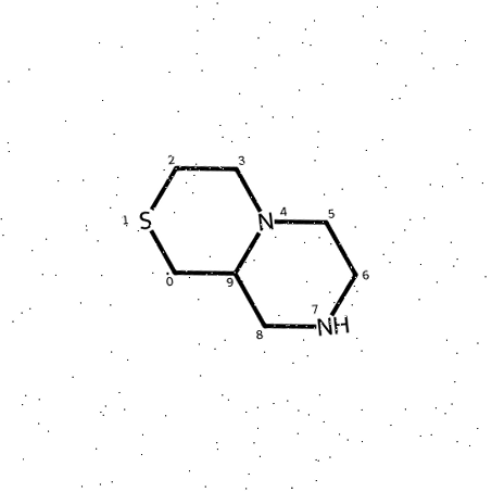 [CH]1SCCN2CCNCC12